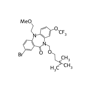 COCCN1c2ccc(Br)cc2C(=O)N(COCCS(C)(C)C)c2cc(OC(F)(F)F)ccc21